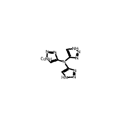 [Cu].c1[nH]nnc1N(c1c[nH]nn1)c1c[nH]nn1